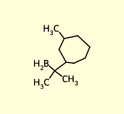 BC(C)(C)C1CCCCC(C)C1